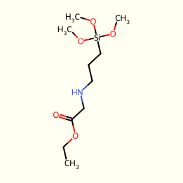 CCOC(=O)CNCCC[Si](OC)(OC)OC